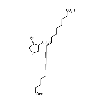 CC(=O)N1CSCC1C(=O)O.CCCCCCCCCCCCCCC#CC#CCCCCCCCCC(=O)O